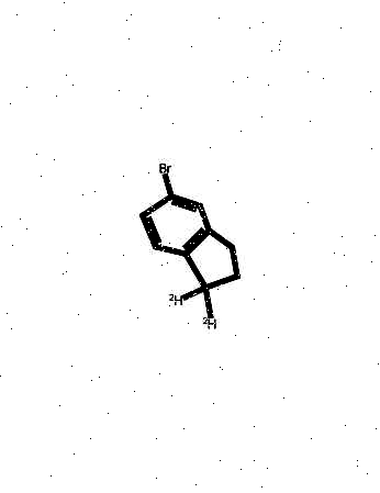 [2H]C1([2H])CCc2cc(Br)ccc21